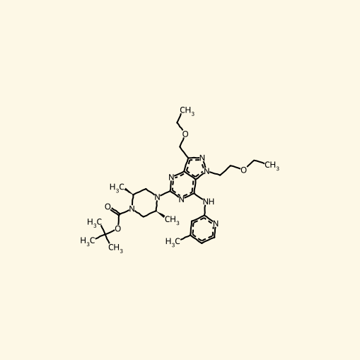 CCOCCn1nc(COCC)c2nc(N3C[C@H](C)N(C(=O)OC(C)(C)C)C[C@@H]3C)nc(Nc3cc(C)ccn3)c21